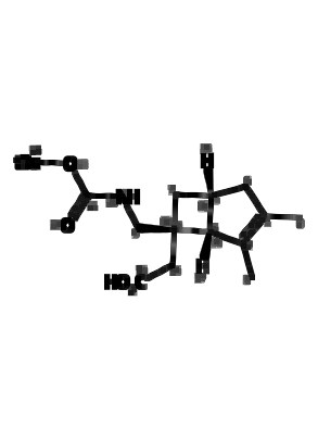 CC1=C(C)[C@H]2[C@@H](C1)C[C@@]2(CNC(=O)OC(C)(C)C)CC(=O)O